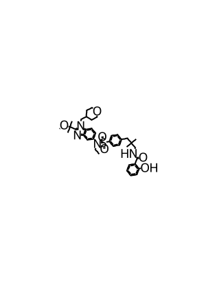 CCN(c1ccc2c(c1)nc(C(C)(C)OC)n2CC1CCOCC1)S(=O)(=O)c1ccc(CC(C)(C)CNC(=O)c2ccccc2O)cc1